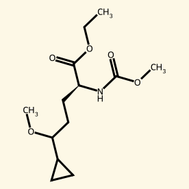 CCOC(=O)[C@H](CCC(OC)C1CC1)NC(=O)OC